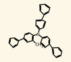 Cc1cc(-c2ccccc2)ccc1N(c1ccc(-c2ccccc2)cc1)c1ccc(-c2ccccc2)cc1